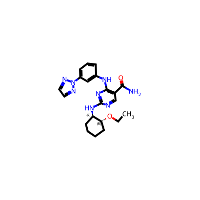 CCO[C@@H]1CCCC[C@H]1Nc1ncc(C(N)=O)c(Nc2cccc(-n3nccn3)c2)n1